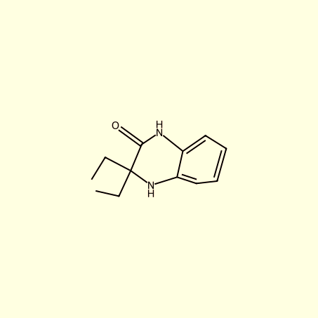 CCC1(CC)Nc2ccccc2NC1=O